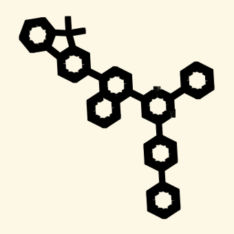 CC1(C)c2ccccc2-c2ccc(-c3ccc(-c4cc(-c5ccc(-c6ccccc6)cc5)nc(-c5ccccc5)n4)c4ccccc34)cc21